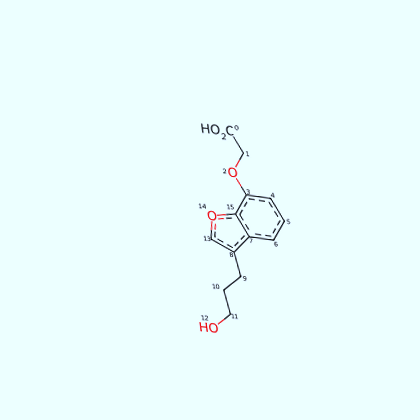 O=C(O)COc1cccc2c(CCCO)coc12